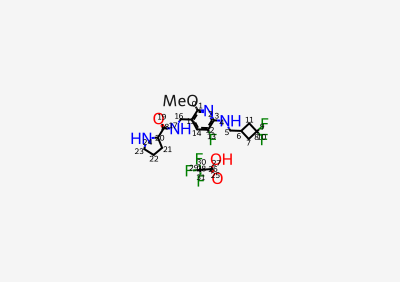 COc1nc(NCC2CC(F)(F)C2)c(F)cc1CNC(=O)C1CCCN1.O=C(O)C(F)(F)F